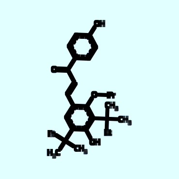 CCC(C)(C)c1cc(C=CC(=O)c2ccc(O)cc2)c(OC(C)C)c(C(C)(C)CC)c1O